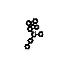 c1ccc(-c2ccc(-c3cc(-c4ccccc4)nc(-c4cccc5c4-c4ccccc4C54c5ccccc5-c5ccccc54)c3)cc2)cc1